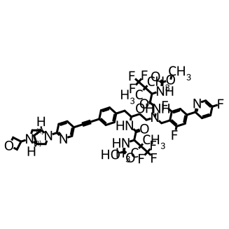 COC(=O)NC(C(=O)NN(Cc1c(F)cc(-c2ccc(F)cn2)cc1F)CC(O)C(Cc1ccc(C#Cc2ccc(N3C[C@H]4C[C@@H]3CN4C3COC3)nc2)cc1)NC(=O)C(NC(=O)O)C(C)(C)C(F)(F)F)C(C)(C)C(F)(F)F